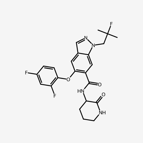 CC(C)(F)Cn1ncc2cc(Oc3ccc(F)cc3F)c(C(=O)NC3CCCNC3=O)cc21